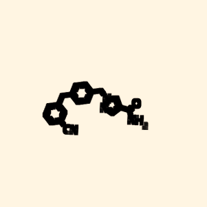 N#Cc1cccc(Cc2ccc(Cn3cc(C(N)=O)cn3)cc2)c1